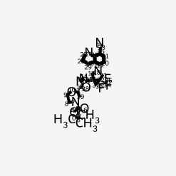 CC(C)(C)OC(=O)N1CCO[C@H](c2nnc([C@]34CN(c5ccc(C#N)c6ncccc56)C[C@@]3(C(F)(F)F)C4)o2)C1